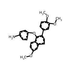 COc1ccc2c(Oc3ccc(N)cc3)c(-c3ccc(OC)c(OC)c3)ccc2c1